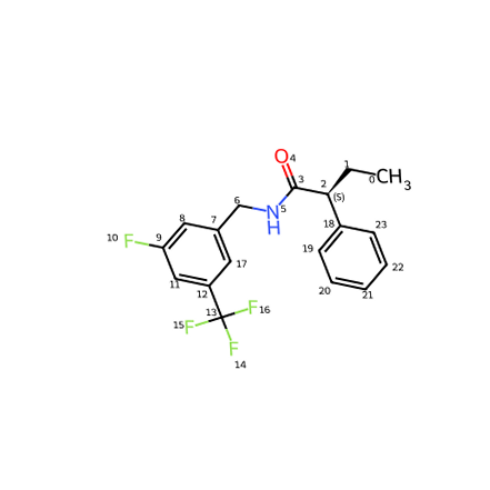 CC[C@H](C(=O)NCc1cc(F)cc(C(F)(F)F)c1)c1ccccc1